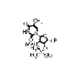 CCC[C@H]1O[C@@H](n2cc(C)c(=O)[nH]c2=O)[C@H](OC)[C@@H]1O[Si](C)(C)C(C)(C)C